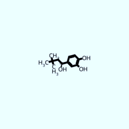 CC(C)(C)C[C@H](O)c1ccc(O)c(O)c1